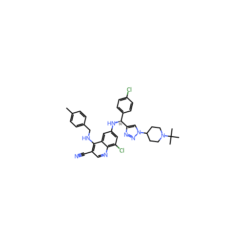 Cc1ccc(CNc2c(C#N)cnc3c(Cl)cc(N[C@@H](c4ccc(Cl)cc4)c4cn(C5CCN(C(C)(C)C)CC5)nn4)cc23)cc1